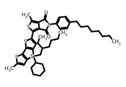 CCCCCCCCc1ccc(N2C(=O)c3c(C)sc(-c4cc5c(s4)-c4sc(C)cc4[Si]5(CC(CC)CCCC)C4CCCCC4)c3C2=O)cc1